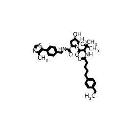 CCc1ccc(CCCCC(=O)NC(C(=O)N2C[C@H](O)C[C@H]2C(=O)NCc2ccc(-c3scnc3C)cc2)C(C)(C)C)cc1